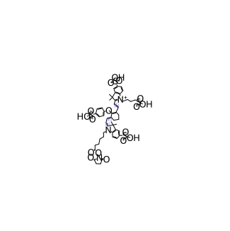 CC1(C)C(/C=C/C2=C(Oc3ccc(S(=O)(=O)O)cc3)C(=C/C=C3/N(CCCCCC(=O)ON4C(=O)CCC4=O)c4ccc(S(=O)(=O)O)cc4C3(C)C)/CCC2)=[N+](CCCCS(=O)(=O)O)c2ccc(S(=O)(=O)O)cc21